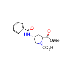 COC(=O)[C@@H]1C[C@@H](NC(=O)c2ccccc2)CN1C(=O)O